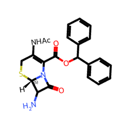 CC(=O)NC1=C(C(=O)OC(c2ccccc2)c2ccccc2)N2C(=O)C(N)[C@@H]2SC1